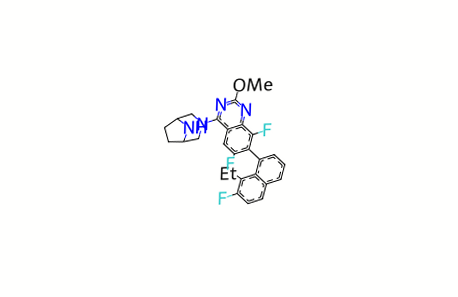 CCc1c(F)ccc2cccc(-c3c(F)cc4c(N5CC6CCC(C5)N6)nc(OC)nc4c3F)c12